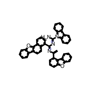 C=C(/N=C(\N=C(/N)n1c2ccccc2c2ccccc21)c1cccc2c1ccc1c3ccccc3oc21)c1cccc2oc3ccccc3c12